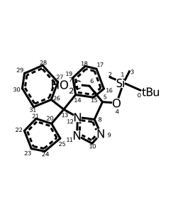 CC(C)(C)[Si](C)(C)OC(CC(=O)O)c1ncnn1C(c1ccccc1)(c1ccccc1)c1ccccc1